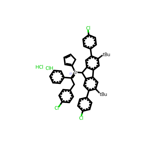 CC(C)(C)c1cc2c(cc1-c1ccc(Cl)cc1)[CH](/[Zr]([C]1=CC=CC1)=[C](\Cc1ccc(Cl)cc1)c1ccccc1)c1cc(-c3ccc(Cl)cc3)c(C(C)(C)C)cc1-2.Cl.Cl